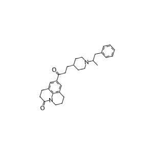 CC(Cc1ccccc1)N1CCC(CCC(=O)c2cc3c4c(c2)CCC(=O)N4CCC3)CC1